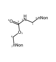 CCCCCCCCCCNC(=O)OCCCCCCCCCC